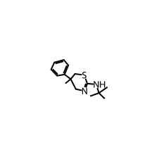 CC(C)(C)NC1=NCC(C)(c2ccccc2)CS1